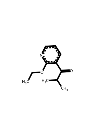 CCOc1ncccc1C(=O)C(C)C